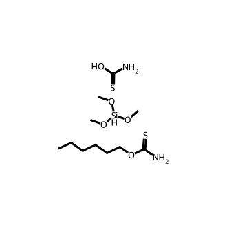 CCCCCCOC(N)=S.CO[SiH](OC)OC.NC(O)=S